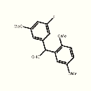 COc1cc(F)cc(C(C=O)c2cc(OC)ccc2OC)c1